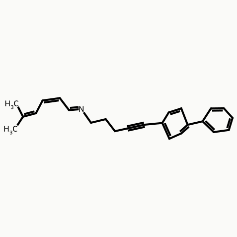 CC(C)=C/C=C\C=N\CCCC#Cc1ccc(-c2ccccc2)cc1